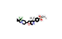 Cc1cc(S(C)(=O)=O)ccc1-c1cc2c(cn1)OC(C1CCN(CC3(C(F)(F)F)CC3)CC1)C2